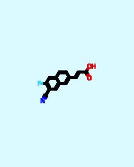 N#Cc1cc2cc(/C=C/C(=O)O)ccc2cc1F